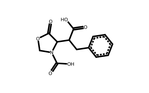 O=C(O)C(Cc1ccccc1)C1C(=O)OCN1C(=O)O